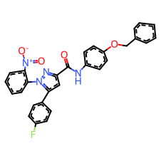 O=C(Nc1ccc(OCc2ccccc2)cc1)c1cc(-c2ccc(F)cc2)n(-c2ccccc2[N+](=O)[O-])n1